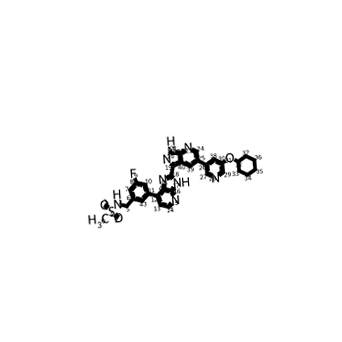 CS(=O)(=O)NCc1cc(F)cc(-c2ccnc3[nH]c(-c4n[nH]c5ncc(-c6cncc(OC7CCCCC7)c6)cc45)nc23)c1